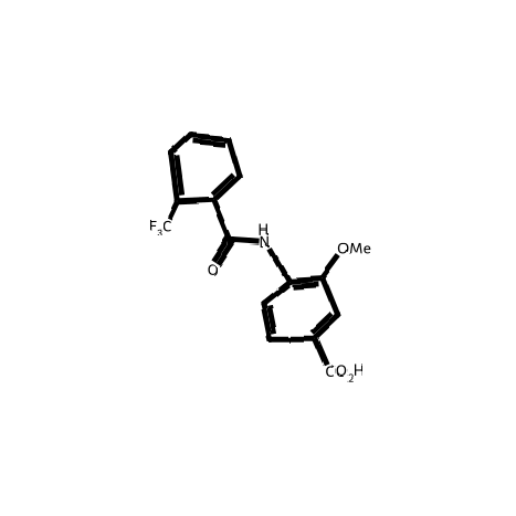 COc1cc(C(=O)O)ccc1NC(=O)c1ccccc1C(F)(F)F